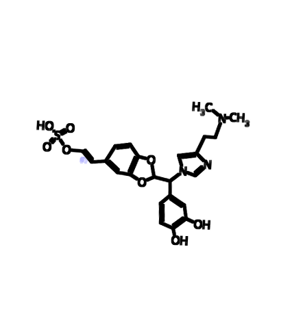 CN(C)CCc1cn(C(c2ccc(O)c(O)c2)C2Oc3ccc(/C=C/OS(=O)(=O)O)cc3O2)cn1